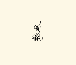 CC(C)CCOC(=O)N1CCC(n2c(=O)[nH]c3ccccc32)CC1